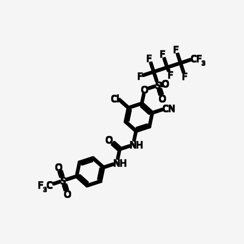 N#Cc1cc(NC(=O)Nc2ccc(S(=O)(=O)C(F)(F)F)cc2)cc(Cl)c1OS(=O)(=O)C(F)(F)C(F)(F)C(F)(F)C(F)(F)F